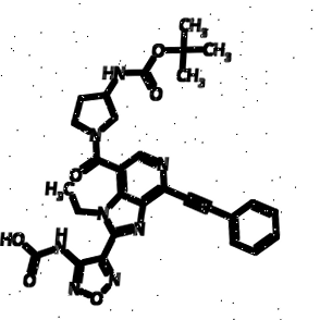 CCn1c(-c2nonc2NC(=O)O)nc2c(C#Cc3ccccc3)ncc(C(=O)N3CCC(NC(=O)OC(C)(C)C)C3)c21